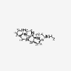 NCCCCN(Cc1nc2cccc3c2n1CCC3)C1CCCc2cccnc21